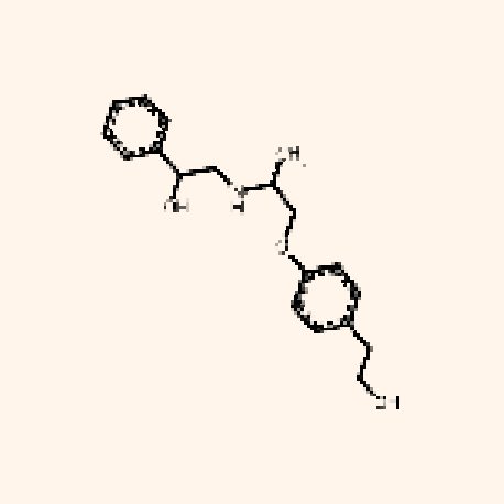 CC(COc1ccc(CCO)cc1)NCC(O)c1ccccc1